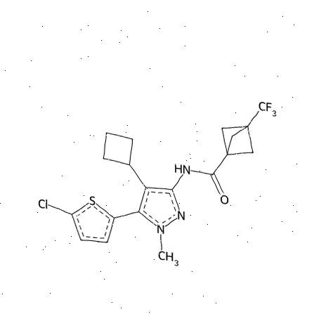 Cn1nc(NC(=O)C23CC(C(F)(F)F)(C2)C3)c(C2CCC2)c1-c1ccc(Cl)s1